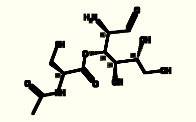 CC(=O)N[C@@H](CS)C(=O)O[C@@H]([C@H](O)[C@H](O)CO)[C@@H](N)C=O